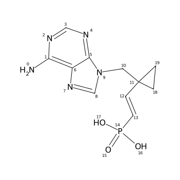 Nc1ncnc2c1ncn2CC1(C=CP(=O)(O)O)CC1